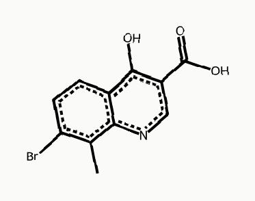 Cc1c(Br)ccc2c(O)c(C(=O)O)cnc12